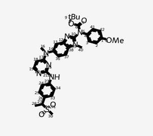 COc1ccc(N(C(=O)OC(C)(C)C)c2nc3cc(N(C)c4ccnc(Nc5ccc(C(C)S(C)(=O)=O)cc5)n4)ccc3n2C)cc1